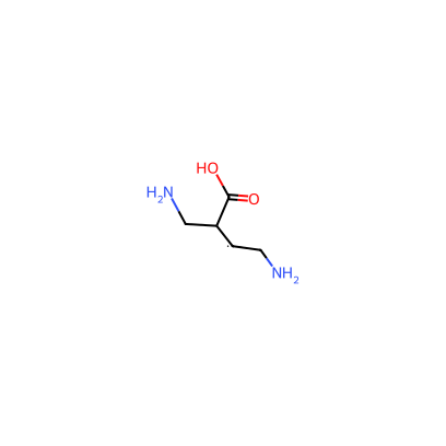 NC[CH]C(CN)C(=O)O